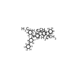 Cc1ccc(N(c2ccc(-c3ccccc3)cc2)c2ccc3c(c2)C(C)(C)c2cc4c(cc2-3)C(C)(C)c2ccccc2-4)cc1